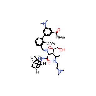 CNC(=O)c1cc(-c2cccc(CN3O[C@@H](CO)[C@@H](C(C)NCCN(C)C)[C@H]3C(=O)N[C@H]3C[C@H]4C[C@@H]([C@@H]3C)C4(C)C)c2OC)cc(N(C)C)c1